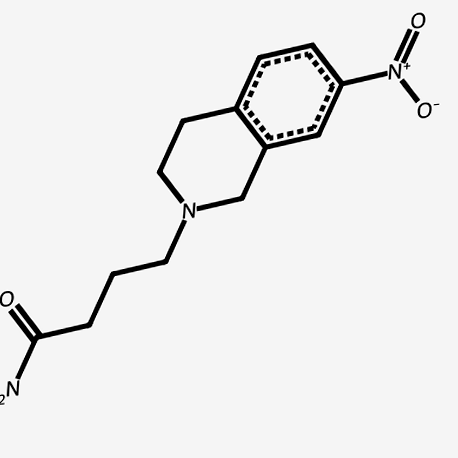 NC(=O)CCCN1CCc2ccc([N+](=O)[O-])cc2C1